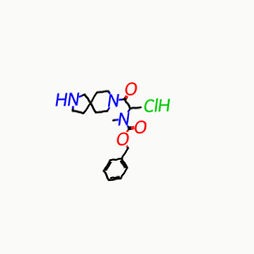 CC(C(=O)N1CCC2(CCNC2)CC1)N(C)C(=O)OCc1ccccc1.Cl